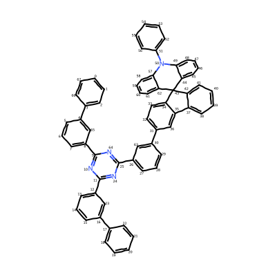 c1ccc(-c2cccc(-c3nc(-c4cccc(-c5ccccc5)c4)nc(-c4cccc(-c5ccc6c(c5)-c5ccccc5C65c6ccccc6N(c6ccccc6)c6ccccc65)c4)n3)c2)cc1